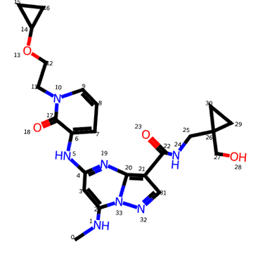 CNc1cc(Nc2cccn(CCOC3CC3)c2=O)nc2c(C(=O)NCC3(CO)CC3)cnn12